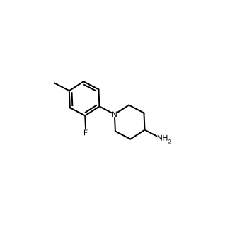 Cc1ccc(N2CCC(N)CC2)c(F)c1